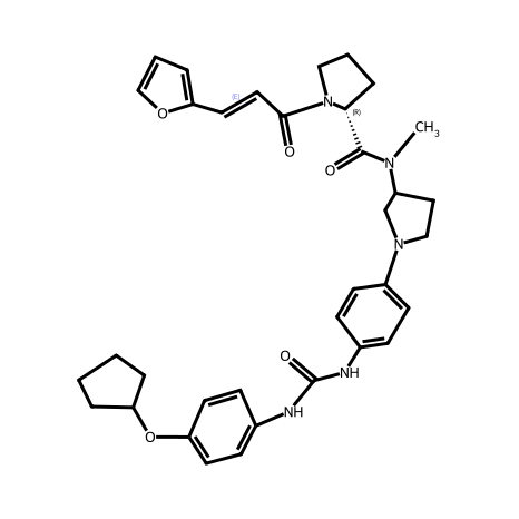 CN(C(=O)[C@H]1CCCN1C(=O)/C=C/c1ccco1)C1CCN(c2ccc(NC(=O)Nc3ccc(OC4CCCC4)cc3)cc2)C1